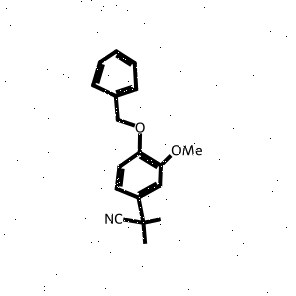 COc1cc(C(C)(C)C#N)ccc1OCc1ccccc1